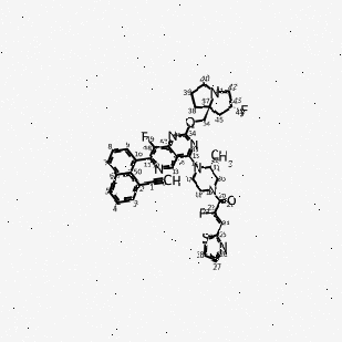 C#Cc1cccc2cccc(-c3ncc4c(N5CCN(C(=O)/C(F)=C/c6nccs6)C[C@H]5C)nc(OC[C@@]56CCCN5C[C@H](F)C6)nc4c3F)c12